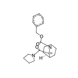 O=C([C@@H]1C2CCC(CC2)N1C(=O)OCc1ccccc1)N1CCCC1